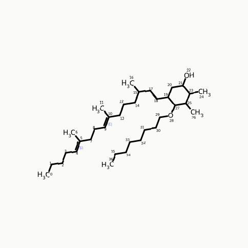 CCCC/C=C(\C)CC/C=C(\C)CCCC(C)CCC1CC(O)C(C)C(C)C1OCCCCCCCC